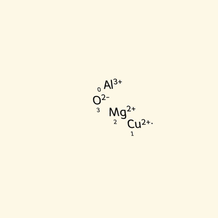 [Al+3].[Cu+2].[Mg+2].[O-2]